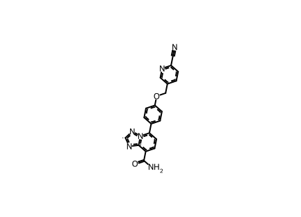 N#Cc1ccc(COc2ccc(-c3ccc(C(N)=O)c4n[c]nn34)cc2)cn1